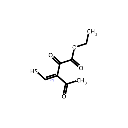 CCOC(=O)C(=O)/C(=C\S)C(C)=O